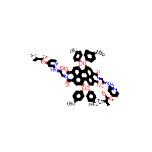 C=C(CC)C(=O)Oc1ccnc(NC(=O)CN2C(=O)c3cc(Oc4ccc(C(C)(C)C)cc4)c4c5c(Oc6ccc(C(C)(C)C)cc6)cc6c7c(cc(Oc8ccc(C(C)(C)C)cc8)c(c8c(Oc9ccc(C(C)(C)C)cc9)cc(c3c48)C2=O)c75)C(=O)N(CC(=O)Nc2cc(OC(=O)C(=C)CC)ccn2)C6=O)c1